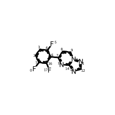 Fc1ccc(F)c(-c2ccn3ncnc3n2)c1F